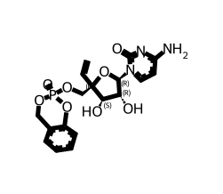 C=C[C@]1(COP2(=O)OCc3ccccc3O2)O[C@@H](n2ccc(N)nc2=O)[C@H](O)[C@@H]1O